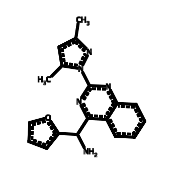 Cc1cc(C)n(-c2nc(C(N)c3ccco3)c3ccccc3n2)n1